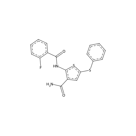 NC(=O)c1cc(Sc2ccccc2)sc1NC(=O)c1ccccc1F